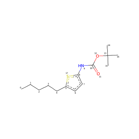 CCCCCc1ccc(NC(=O)OC(C)(C)C)s1